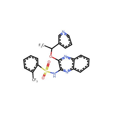 O=S(=O)(Nc1nc2ccccc2nc1OC(c1cccnc1)C(F)(F)F)c1ccccc1C(F)(F)F